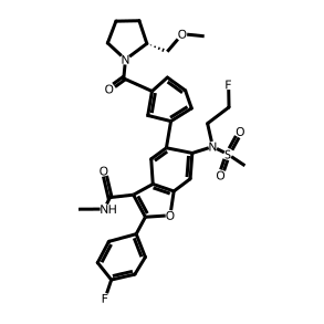 CNC(=O)c1c(-c2ccc(F)cc2)oc2cc(N(CCF)S(C)(=O)=O)c(-c3cccc(C(=O)N4CCC[C@@H]4COC)c3)cc12